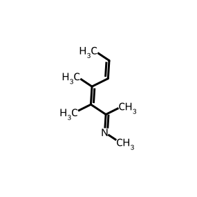 C\C=C/C(C)=C(C)\C(C)=N\C